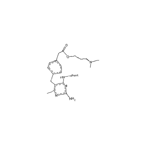 CCCCCNc1nc(N)nc(C)c1Cc1ccc(CC(=O)OCCCN(C)C)cc1